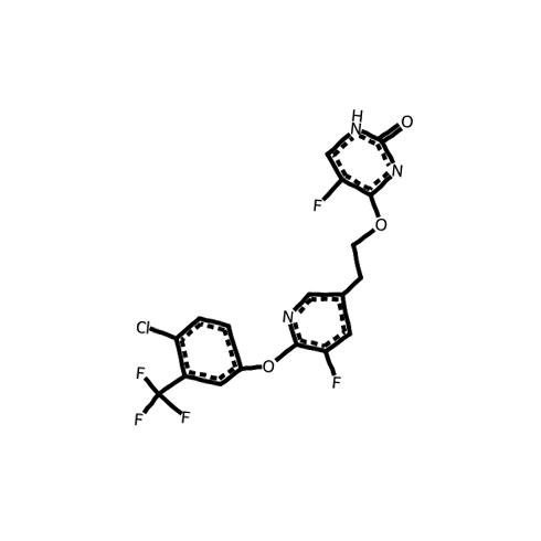 O=c1nc(OCCc2cnc(Oc3ccc(Cl)c(C(F)(F)F)c3)c(F)c2)c(F)c[nH]1